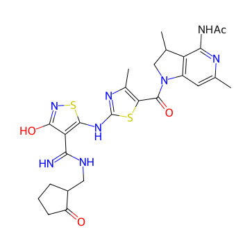 CC(=O)Nc1nc(C)cc2c1C(C)CN2C(=O)c1sc(Nc2snc(O)c2C(=N)NCC2CCCC2=O)nc1C